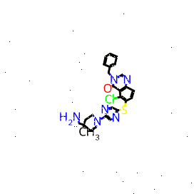 CC1(CN)CCN(c2cnc(Sc3ccc4ncn(Cc5ccccc5)c(=O)c4c3Cl)cn2)CC1